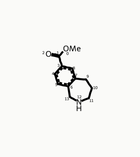 COC(=O)c1ccc2c(c1)CCCNC2